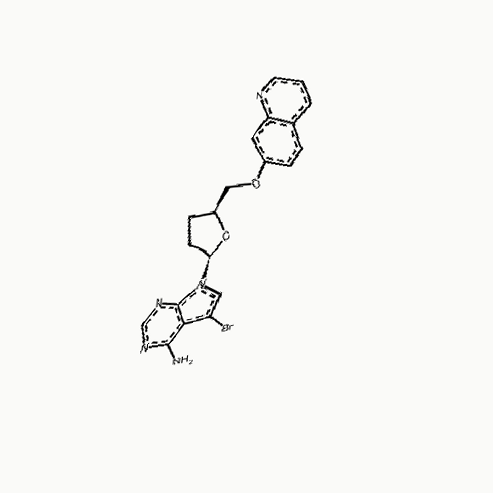 Nc1ncnc2c1c(Br)cn2[C@H]1CC[C@@H](COc2ccc3cccnc3c2)O1